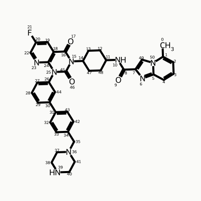 Cc1cccc2nc(C(=O)NC3CCC(n4c(=O)c5cc(F)cnc5n(-c5cccc(-c6ccc(CN7CCNCC7)cc6)c5)c4=O)CC3)cn12